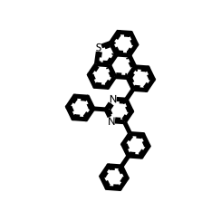 c1ccc(-c2cccc(-c3cc(-c4cccc5c6cccc7sc8cccc(c45)c8c76)nc(-c4ccccc4)n3)c2)cc1